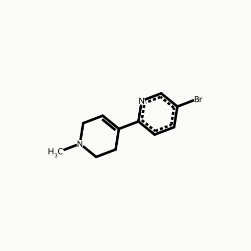 CN1CC=C(c2ccc(Br)cn2)CC1